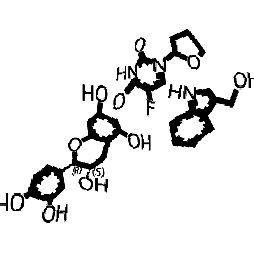 O=c1[nH]c(=O)n(C2CCCO2)cc1F.OCc1c[nH]c2ccccc12.Oc1cc(O)c2c(c1)O[C@H](c1ccc(O)c(O)c1)[C@@H](O)C2